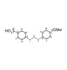 COc1ccc(CCCc2ccc(S(=O)(=O)O)cc2)cc1